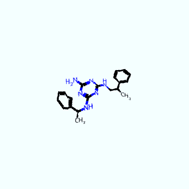 CC(CNc1nc(N)nc(N[C@@H](C)c2ccccc2)n1)c1ccccc1